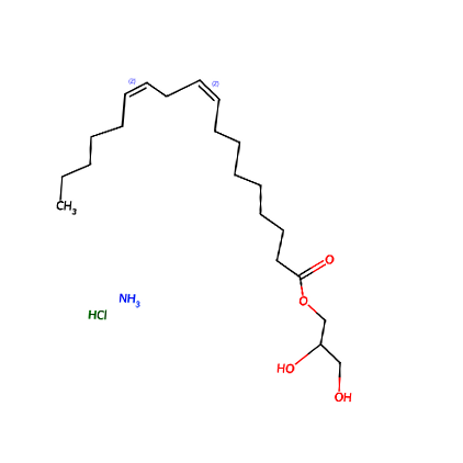 CCCCC/C=C\C/C=C\CCCCCCCC(=O)OCC(O)CO.Cl.N